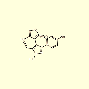 Cc1cc(O)ccc1-c1nn(C)c(C=O)c1-c1c(C)noc1C